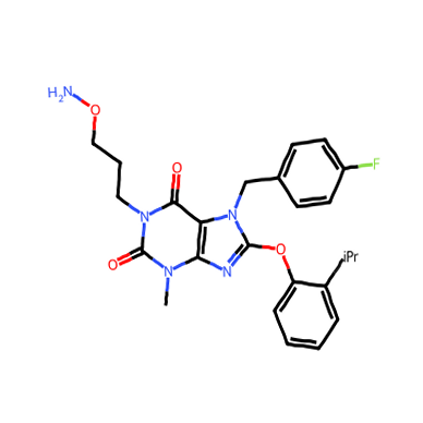 CC(C)c1ccccc1Oc1nc2c(c(=O)n(CCCON)c(=O)n2C)n1Cc1ccc(F)cc1